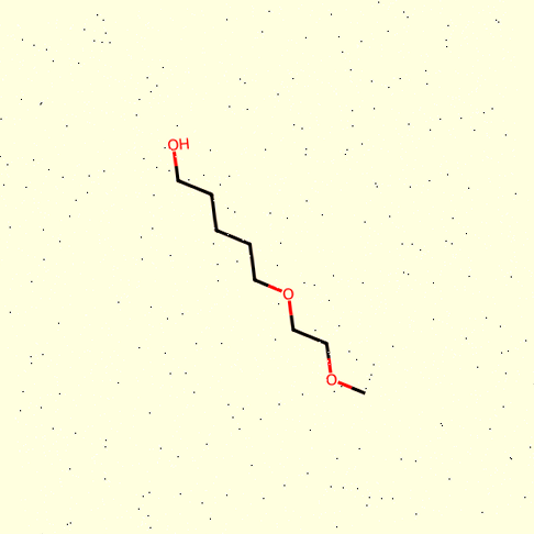 COCCOCCCCCO